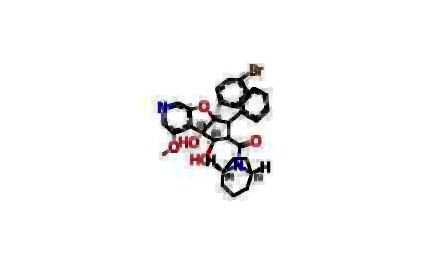 COc1cncc2c1[C@]1(O)[C@H](O)C(C(=O)N3[C@@H]4CCC[C@H]3CC4)C(c3ccccc3)[C@]1(c1ccc(Br)cc1)O2